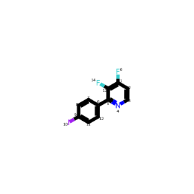 Fc1ccnc(-c2c[c]c(I)cc2)c1F